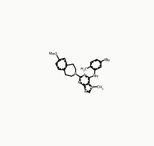 COc1ccc2c(c1)CCN(c1nc(Nc3cc(C(C)(C)C)ccc3C)c3c(ncn3C)n1)CC2